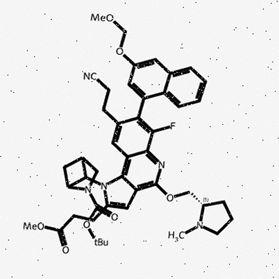 COCOc1cc(-c2c(CCC#N)cc3c(nc(OC[C@@H]4CCCN4C)c4cc(CCC(=O)OC)n(C5C6CC5N(C(=O)OC(C)(C)C)C6)c43)c2F)c2ccccc2c1